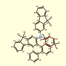 CC1(C)CCC(C)(C)c2c1ccc(-c1ccccc1)c2-c1cc2c(cc1N(c1ccccc1)c1ccc3c(c1)C(C)(C)c1ccccc1-3)C(C)(C)c1ccccc1-2